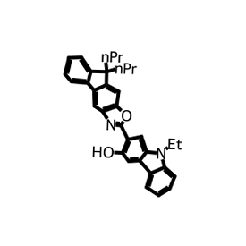 CCCC1(CCC)c2ccccc2-c2cc3nc(-c4cc5c(cc4O)c4ccccc4n5CC)oc3cc21